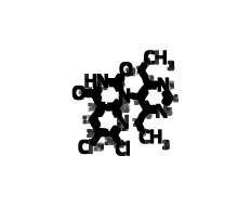 CCc1ncnc(CC)c1-n1c(=O)[nH]c(=O)c2cc(Cl)c(Cl)nc21